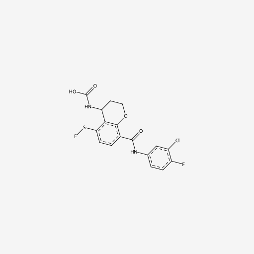 O=C(O)NC1CCOc2c(C(=O)Nc3ccc(F)c(Cl)c3)ccc(SF)c21